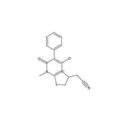 Cn1c2[n+](c([O-])c(-c3ccccc3)c1=O)C(CC#N)CS2